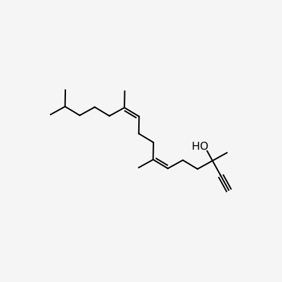 C#CC(C)(O)CCC=C(C)CCC=C(C)CCCC(C)C